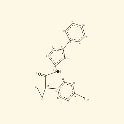 O=C(Nc1ccn(-c2ccccc2)n1)C1(c2ccc(F)cn2)CC1